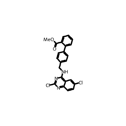 COC(=O)c1ccccc1-c1ccc(CNc2nc(Cl)nc3ccc(Cl)cc23)cc1